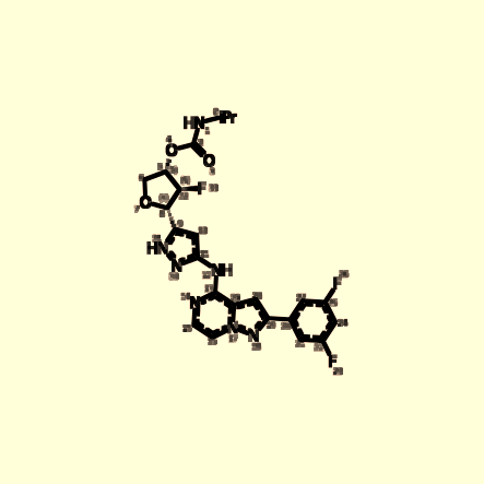 CC(C)NC(=O)O[C@H]1CO[C@@H](c2cc(Nc3nccn4nc(-c5cc(F)cc(F)c5)cc34)n[nH]2)[C@@H]1F